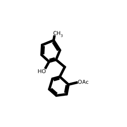 CC(=O)Oc1ccccc1Cc1cc(C)ccc1O